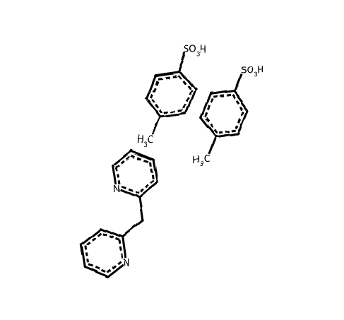 Cc1ccc(S(=O)(=O)O)cc1.Cc1ccc(S(=O)(=O)O)cc1.c1ccc(Cc2ccccn2)nc1